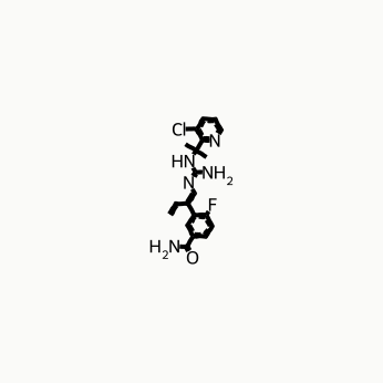 C=C/C(=C\N=C(/N)NC(C)(C)c1ncccc1Cl)c1cc(C(N)=O)ccc1F